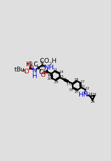 CC(C)(C)OC(=O)NC(C)(C)[C@H](NC(=O)c1ccc(C#Cc2ccc(CNC3CC3)cc2)cc1)C(=O)O